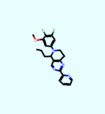 CCCC1c2cnc(-c3ccccn3)nc2CCN1c1cc(F)c(F)c(OC)c1